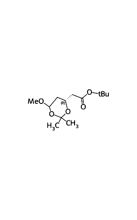 COC1C[C@H](CC(=O)OC(C)(C)C)OC(C)(C)O1